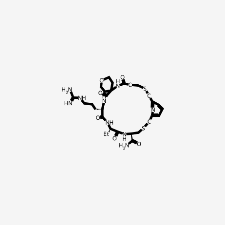 CC[C@@H]1NC(=O)[C@H](CCCNC(=N)N)NC(=O)C2(CCOCC2)NC(=O)CCSCc2cccc(n2)CSC[C@@H](C(N)=O)NC1=O